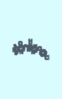 Cc1nn(C)c2ncn(Cc3nc4ncc(Oc5ccc(Cl)cc5)nc4[nH]3)c(=O)c12